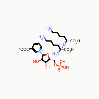 NCCCC[C@@H](N)C(=O)O.NCCCC[C@@H](N)C(=O)O.O=C([O-])c1ccc[n+]([C@@H]2O[C@H](COP(=O)(O)O)[C@@H](O)[C@H]2O)c1